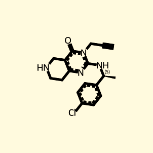 C#CCn1c(N[C@@H](C)c2ccc(Cl)cc2)nc2c(c1=O)CNCC2